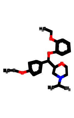 CCOc1ccc(C(Oc2ccccc2OCC)C2CN(C(C)C)CCO2)cc1